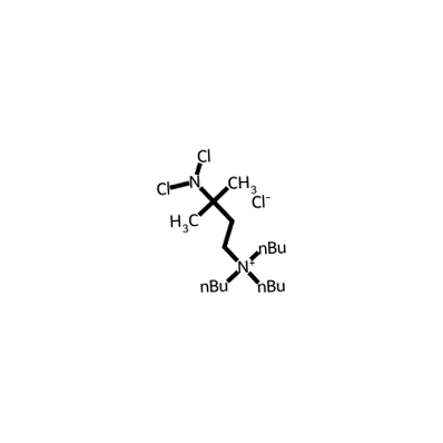 CCCC[N+](CCCC)(CCCC)CCC(C)(C)N(Cl)Cl.[Cl-]